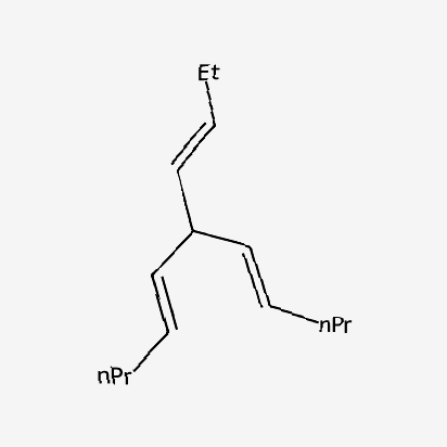 CCC=CC(C=CCCC)C=CCCC